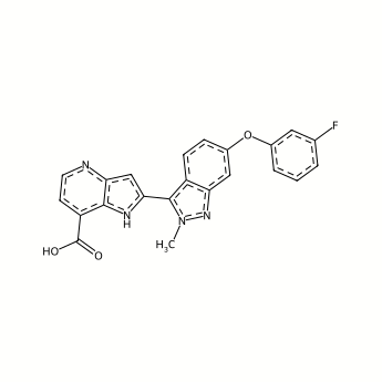 Cn1nc2cc(Oc3cccc(F)c3)ccc2c1-c1cc2nccc(C(=O)O)c2[nH]1